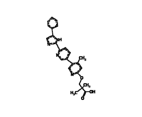 Cc1cc(OCC(C)(C)C(=O)O)ncc1-c1ccc(-c2ncc(-c3ccccc3)[nH]2)nc1